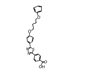 O=C(O)c1ccc(-c2nnc(-c3ccc(OCCCCOc4ccccc4)cc3)s2)cc1